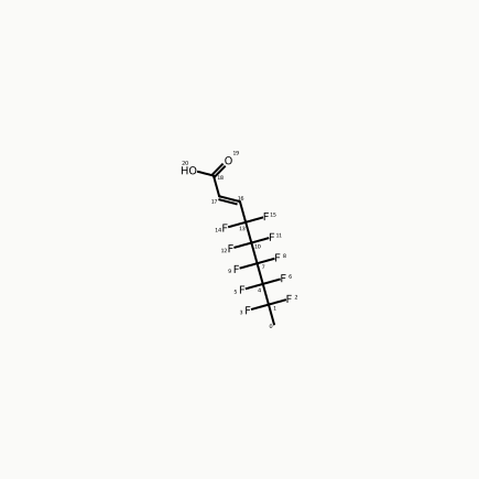 CC(F)(F)C(F)(F)C(F)(F)C(F)(F)C(F)(F)C=CC(=O)O